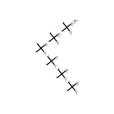 CCC(C)(C)[O-].CCC(C)(C)[O-].CCC(C)(C)[O-].CCC(C)(C)[O-].CCC(C)(C)[O-].CCC(C)(C)[O-].[W+6]